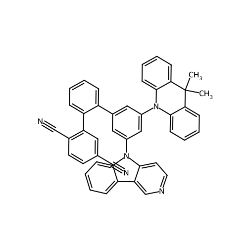 CC1(C)c2ccccc2N(c2cc(-c3ccccc3-c3cc(C#N)ccc3C#N)cc(-n3c4ccccc4c4cnccc43)c2)c2ccccc21